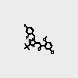 COc1ccc(Cl)cc1C(=O)C=C1SC(C(C)(C)C)=NN1Cc1ccc(F)cc1F